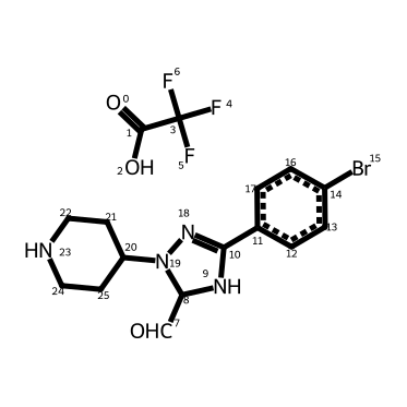 O=C(O)C(F)(F)F.O=CC1NC(c2ccc(Br)cc2)=NN1C1CCNCC1